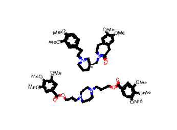 COc1cc(C(=O)OCCCN2CCCN(CCCOC(=O)c3cc(OC)c(OC)c(OC)c3)CC2)cc(OC)c1OC.COc1ccc(CCN2CCC[C@H](CN3CCc4cc(OC)c(OC)cc4CC3=O)C2)cc1OC